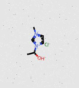 CC(O)[n+]1ccn(C)c1.[Cl-]